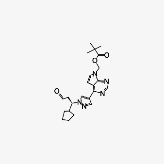 CC(C)(C)C(=O)OCn1ccc2c(-c3cnn([C@H](CC=O)C4CCCC4)c3)ncnc21